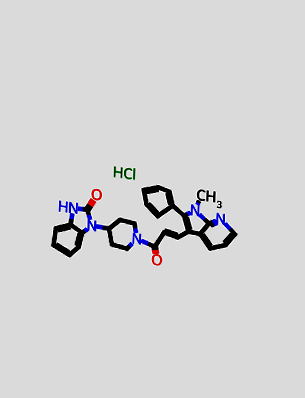 Cl.Cn1c(-c2ccccc2)c(C=CC(=O)N2CCC(n3c(=O)[nH]c4ccccc43)CC2)c2cccnc21